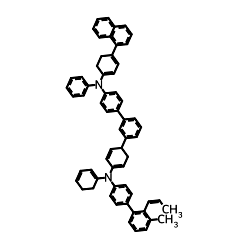 C/C=C\c1c(C)cccc1-c1ccc(N(C2=CCC(c3cccc(-c4ccc(N(C5=CC=C(c6cccc7ccccc67)CC5)c5ccccc5)cc4)c3)C=C2)C2=CC=CCC2)cc1